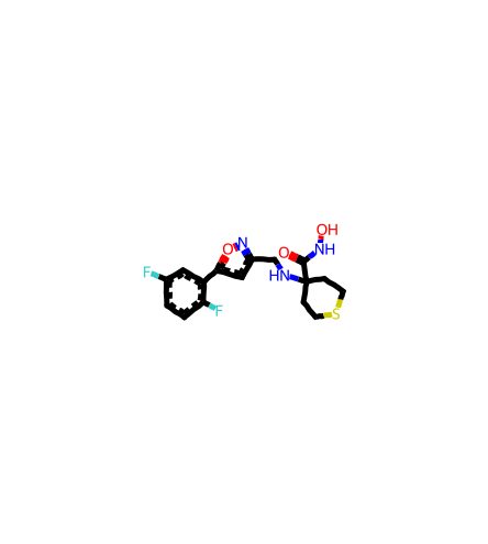 O=C(NO)C1(NCc2cc(-c3cc(F)ccc3F)on2)CCSCC1